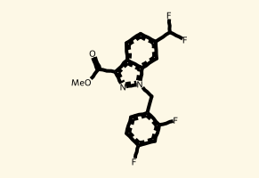 COC(=O)c1nn(Cc2ccc(F)cc2F)c2cc(C(F)F)ccc12